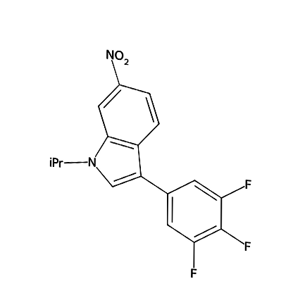 CC(C)n1cc(-c2cc(F)c(F)c(F)c2)c2ccc([N+](=O)[O-])cc21